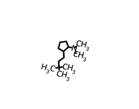 CN(C)C1CCCC1CCC(C)(C)C